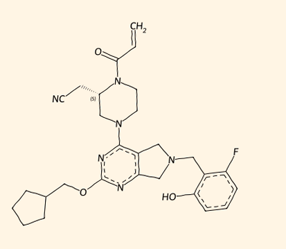 C=CC(=O)N1CCN(c2nc(OCC3CCCC3)nc3c2CN(Cc2c(O)cccc2F)C3)C[C@@H]1CC#N